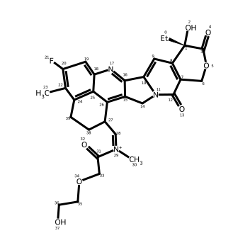 CC[C@@]1(O)C(=O)OCc2c1cc1n(c2=O)Cc2c-1nc1cc(F)c(C)c3c1c2C(/C=[N+](/C)C(=O)COCCO)CC3